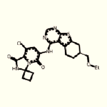 CCOC[C@H]1CCc2c(sc3ncnc(Nc4cc(Cl)c5n(c4=O)C4(CCC4)NC5=O)c23)C1